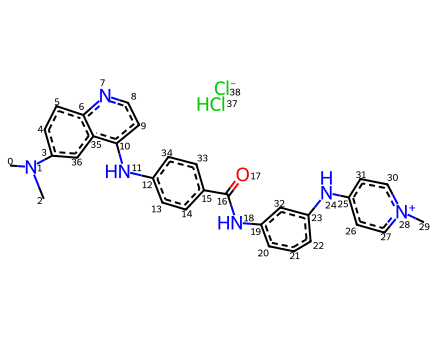 CN(C)c1ccc2nccc(Nc3ccc(C(=O)Nc4cccc(Nc5cc[n+](C)cc5)c4)cc3)c2c1.Cl.[Cl-]